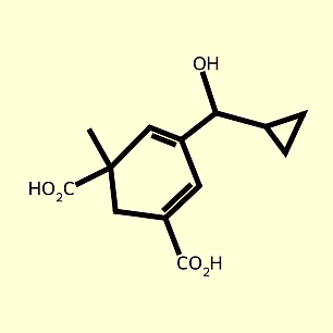 CC1(C(=O)O)C=C(C(O)C2CC2)C=C(C(=O)O)C1